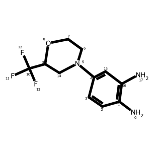 Nc1ccc(N2CCOC(C(F)(F)F)C2)cc1N